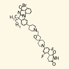 CC1(C)c2ccc(C3CCN(CC4CC5(CCN(c6cc(F)c(C7CCC(=O)NC7=O)c(F)c6)CC5)CO4)CC3)cc2-n2c1nc(=O)c1c(Br)cccc12